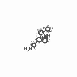 Cc1ccccc1Nc1c(-c2ccccc2)cccc1C1(N)C=CC(c2ccc(N)cc2)=CC1